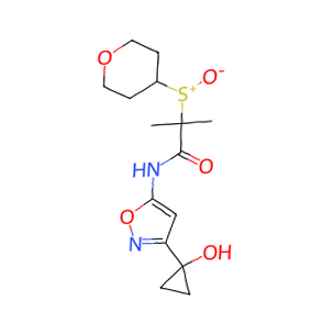 CC(C)(C(=O)Nc1cc(C2(O)CC2)no1)[S+]([O-])C1CCOCC1